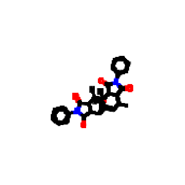 CC1C=C2C3CC(=O)[C@H](C4C(=O)N(c5ccccc5)C(=O)C34)[C@H]2C2C(=O)N(c3ccccc3)C(=O)C12